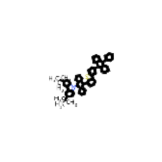 CC(C)(C)c1ccc2c(c1)c1cc(C(C)(C)C)ccc1n2-c1c2ccccc2c(-c2cccc3c2sc2ccc(-c4c5ccccc5c(-c5ccccc5)c5ccccc45)cc23)c2ccccc12